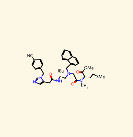 CC[C@H](C)[C@@H](CN(CC(=O)N(C)[C@@H](CCSC)C(=O)OC)Cc1cccc2ccccc12)NC(=O)Cc1cncn1Cc1ccc(C#N)cc1